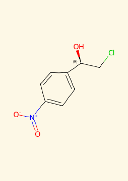 O=[N+]([O-])c1ccc([C@@H](O)CCl)cc1